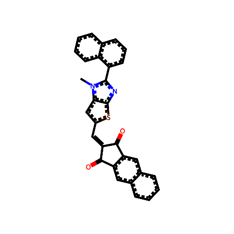 Cn1c(-c2cccc3ccccc23)nc2sc(C=C3C(=O)c4cc5ccccc5cc4C3=O)cc21